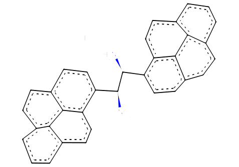 Cl.N[C@@H](c1ccc2ccc3cccc4ccc1c2c34)[C@@H](N)c1ccc2ccc3cccc4ccc1c2c34